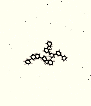 C1=CCCC(c2cccc(-c3nc(-c4cccc5c4oc4ccccc45)nc(-c4cccc5oc6cc(-c7ccc8ccc(-c9ccccc9)cc8c7)ccc6c45)n3)c2)=C1